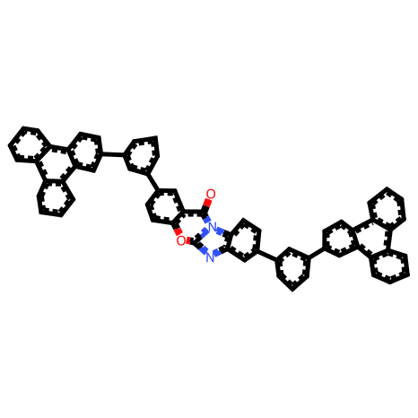 O=c1c2cc(-c3cccc(-c4ccc5c6ccccc6c6ccccc6c5c4)c3)ccc2oc2nc3cc(-c4cccc(-c5ccc6c7ccccc7c7ccccc7c6c5)c4)ccc3n12